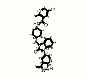 Cc1ncc(Cl)cc1C(=O)N[C@H]1CC[C@H](Cn2c(=O)n(-c3cnc4[nH]nc(C)c4c3)c3ccccc32)CC1